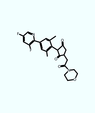 Cc1cc(-c2ncc(F)cc2F)cc(C)c1C1C(=O)CC(CC(=O)N2CCOCC2)C1=O